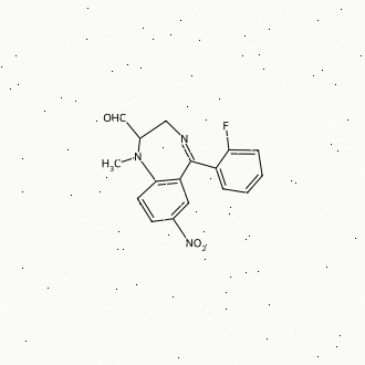 CN1c2ccc([N+](=O)[O-])cc2C(c2ccccc2F)=NCC1C=O